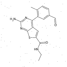 CCNC(=O)c1cc2c(-c3cc(C=O)ccc3C)nc(N)nc2s1